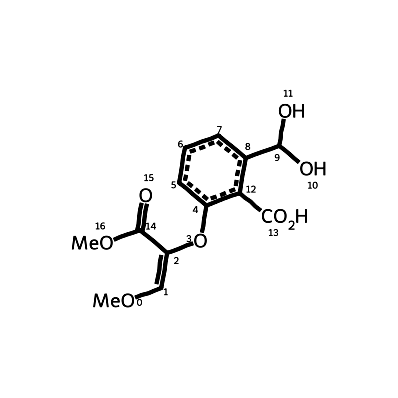 COC=C(Oc1cccc(C(O)O)c1C(=O)O)C(=O)OC